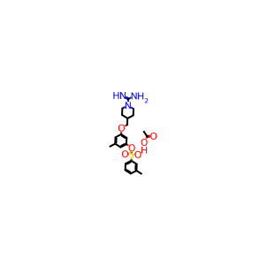 CC(=O)O.Cc1cc(OCC2CCN(C(=N)N)CC2)cc(OS(=O)(=O)c2cccc(C)c2)c1